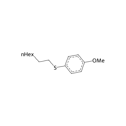 CCCCCCCCSc1ccc(OC)cc1